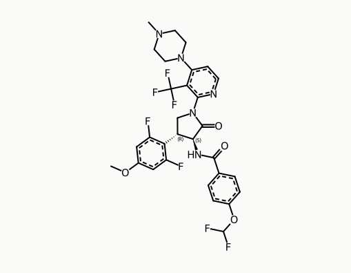 COc1cc(F)c([C@@H]2CN(c3nccc(N4CCN(C)CC4)c3C(F)(F)F)C(=O)[C@H]2NC(=O)c2ccc(OC(F)F)cc2)c(F)c1